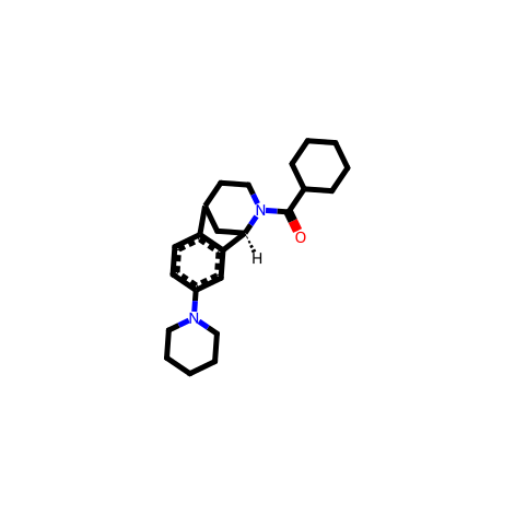 O=C(C1CCCCC1)N1CCC2C[C@@H]1c1cc(N3CCCCC3)ccc12